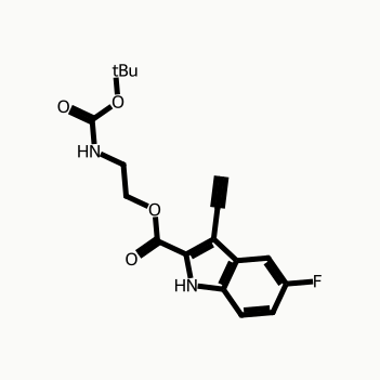 C#Cc1c(C(=O)OCCNC(=O)OC(C)(C)C)[nH]c2ccc(F)cc12